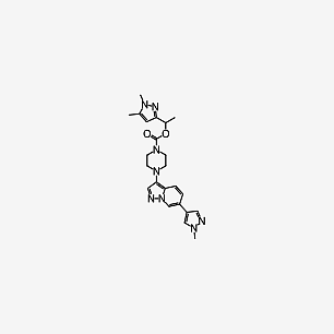 Cc1cc(C(C)OC(=O)N2CCN(c3cnn4cc(-c5cnn(C)c5)ccc34)CC2)nn1C